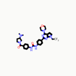 CN(C)C1CCN(C(=O)c2ccc(NC(=O)Nc3ccc(-c4nc(N5CCOCC5)c5ccn(CC(F)(F)F)c5n4)cc3)cc2)C1